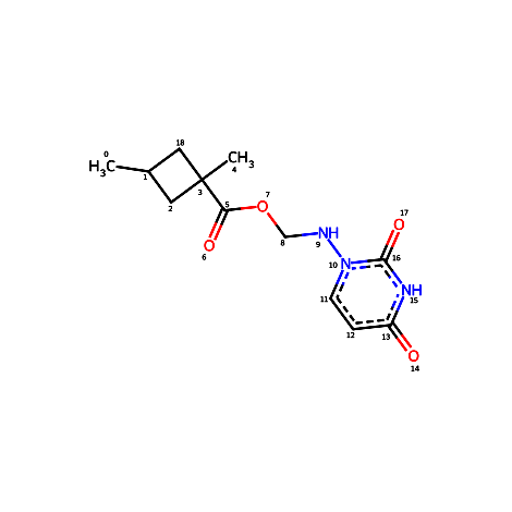 CC1CC(C)(C(=O)OCNn2ccc(=O)[nH]c2=O)C1